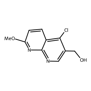 COc1ccc2c(Cl)c(CO)cnc2n1